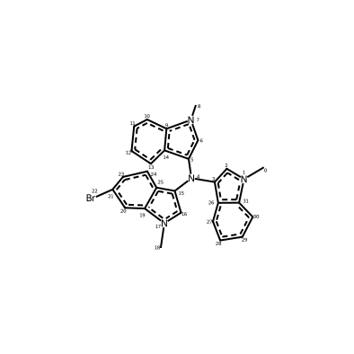 Cn1cc(N(c2cn(C)c3ccccc23)c2cn(C)c3cc(Br)ccc23)c2ccccc21